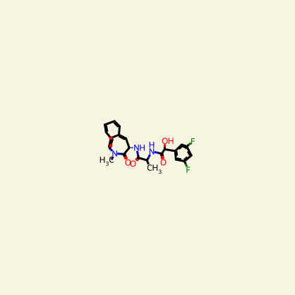 CC(NC(=O)C(O)c1cc(F)cc(F)c1)C(=O)N[C@H]1C=C2C=CC=CC23CC=CC=C3N(C)C1=O